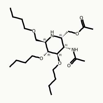 CCCCOC[C@H]1N[C@H](COC(C)=O)[C@H](NC(C)=O)[C@@H](OCCCC)[C@@H]1OCCCC